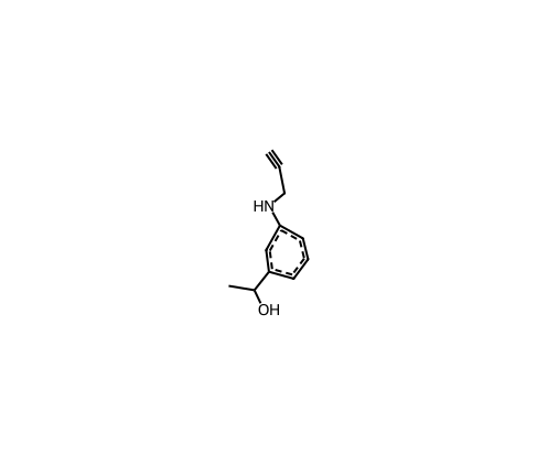 C#CCNc1cccc(C(C)O)c1